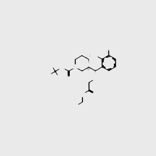 CCOC(=O)CO[C@@H](c1cccc(Cl)c1C)[C@@H]1CCCN(C(=O)OC(C)(C)C)C1